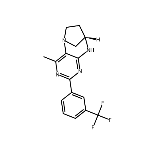 Cc1nc(-c2cccc(C(F)(F)F)c2)nc2c1N1CC[C@@H](C1)N2